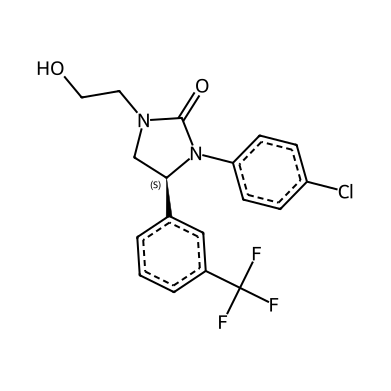 O=C1N(CCO)C[C@H](c2cccc(C(F)(F)F)c2)N1c1ccc(Cl)cc1